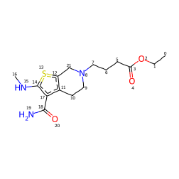 CCOC(=O)CCCN1CCc2c(sc(NC)c2C(N)=O)C1